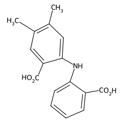 Cc1cc(Nc2ccccc2C(=O)O)c(C(=O)O)cc1C